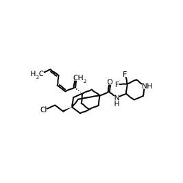 C=C(/C=C\C=C/C)[C@]12CC3CC(C(=O)NC4CCNCC4(F)F)(C[C@](CCCl)(C3)C1)C2